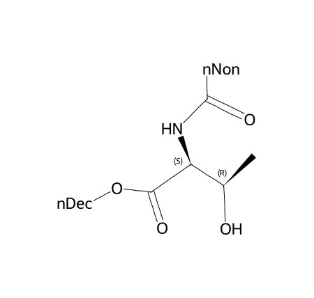 CCCCCCCCCCOC(=O)[C@@H](NC(=O)CCCCCCCCC)[C@@H](C)O